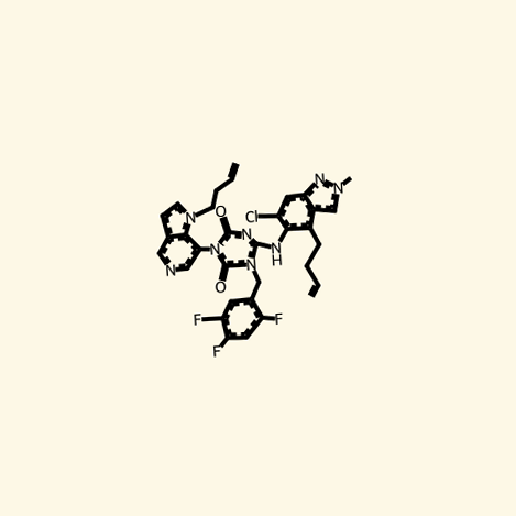 C=CCCc1c(Nc2nc(=O)n(-c3cncc4ccn(CCC=C)c34)c(=O)n2Cc2cc(F)c(F)cc2F)c(Cl)cc2nn(C)cc12